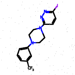 FC(F)(F)c1cccc(N2CCN(c3ccc(I)nn3)CC2)c1